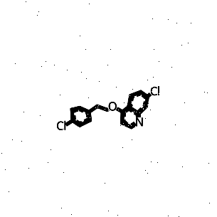 Clc1ccc(CCOc2ccnc3cc(Cl)ccc23)cc1